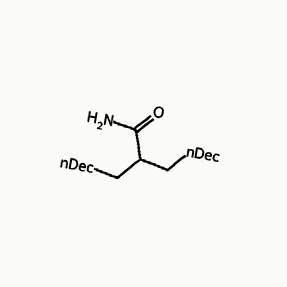 CCCCCCCCCCCC(CCCCCCCCCCC)C(N)=O